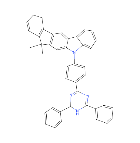 CC1(C)C2=C(CCC=C2)c2cc3c4ccccc4n(-c4ccc(C5=NC(c6ccccc6)NC(c6ccccc6)=N5)cc4)c3cc21